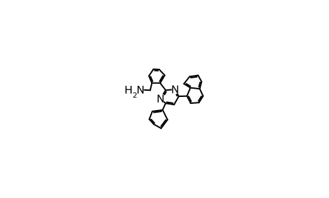 NCc1ccccc1-c1nc(-c2ccccc2)cc(-c2cccc3ccccc23)n1